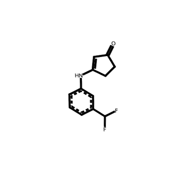 O=C1C=C(Nc2cccc(C(F)F)c2)CC1